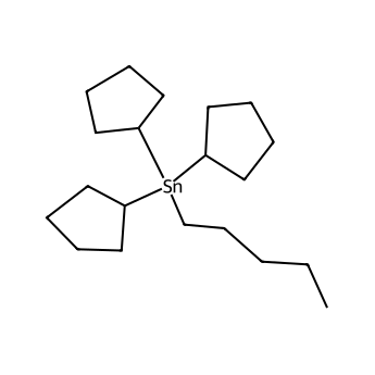 CCCC[CH2][Sn]([CH]1CCCC1)([CH]1CCCC1)[CH]1CCCC1